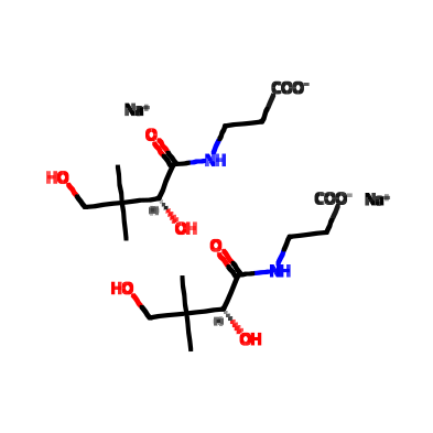 CC(C)(CO)[C@@H](O)C(=O)NCCC(=O)[O-].CC(C)(CO)[C@@H](O)C(=O)NCCC(=O)[O-].[Na+].[Na+]